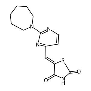 O=C1NC(=O)/C(=C/c2ccnc(N3CCCCCC3)n2)S1